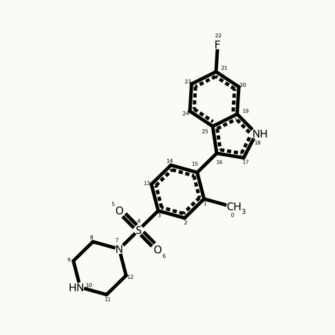 Cc1cc(S(=O)(=O)N2CCNCC2)ccc1-c1c[nH]c2cc(F)ccc12